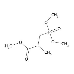 COC(=O)C(C)CP(=O)(OC)OC